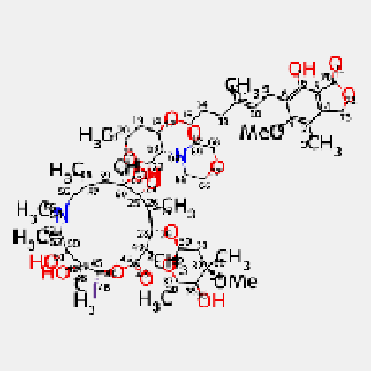 COc1c(C)c2c(c(O)c1C/C=C(\C)CCC(=O)O[C@@H]1C[C@@H](C)O[C@@H](O[C@@H]3[C@@H](C)[C@H](O[C@H]4C[C@@](C)(OC)[C@@H](O)[C@H](C)O4)[C@@H](C)C(=O)O[C@H](I)[C@@](C)(O)[C@H](O)[C@@H](C)N(C)C[C@H](C)C[C@@]3(C)O)[C@H]1N1CCOCC1)C(=O)OC2